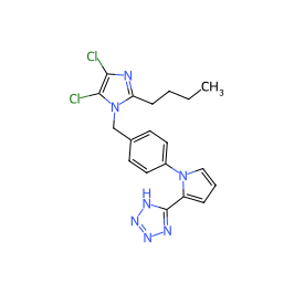 CCCCc1nc(Cl)c(Cl)n1Cc1ccc(-n2cccc2-c2nnn[nH]2)cc1